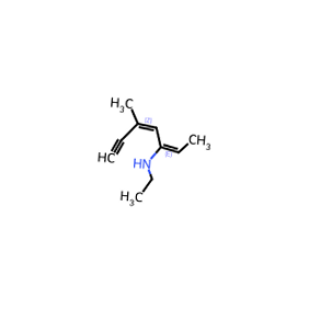 C#C/C(C)=C\C(=C/C)NCC